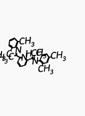 C/C(=N\c1c(C)cccc1C)c1cccc(/C(C)=N/c2c(C)cc(C)cc2C)n1